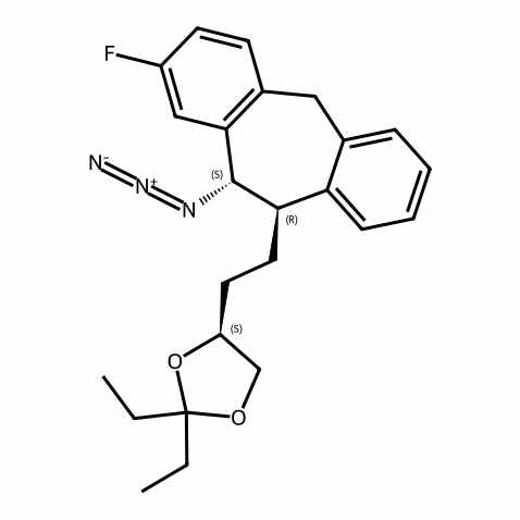 CCC1(CC)OC[C@H](CC[C@@H]2c3ccccc3Cc3ccc(F)cc3[C@H]2N=[N+]=[N-])O1